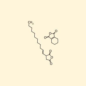 CCCCCCCCCCC=CC1CC(=O)OC1=O.O=C1OC(=O)C2=C1CCCC2